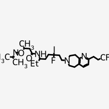 CCC(CCC(F)(I)CCN1CCc2ccc(CCC(F)(F)F)nc2CC1)NC(=O)CC(C)ON=C(C)C